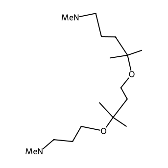 CNCCCOC(C)(C)CCOC(C)(C)CCCNC